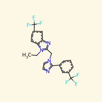 CCn1c(Cn2ccnc2-c2cccc(C(F)(F)F)c2)nc2cc(C(F)(F)F)ccc21